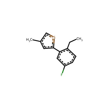 CCc1ccc(F)cc1-c1cc(C)cs1